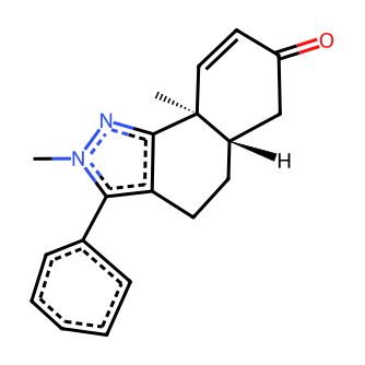 Cn1nc2c(c1-c1ccccc1)CC[C@H]1CC(=O)C=C[C@]21C